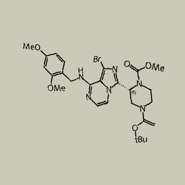 C=C(OC(C)(C)C)N1CCN(C(=O)OC)[C@@H](c2nc(Br)c3c(NCc4ccc(OC)cc4OC)nccn23)C1